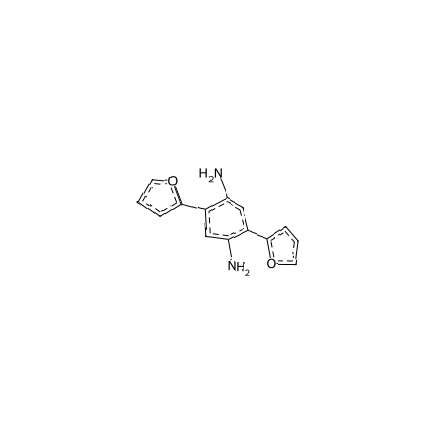 Nc1cc(-c2ccco2)c(N)cc1-c1ccco1